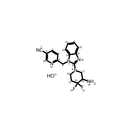 Cl.N#Cc1ccc(Cn2c(N3CCC(F)(F)C(N)C3)nc3ccccc32)nc1